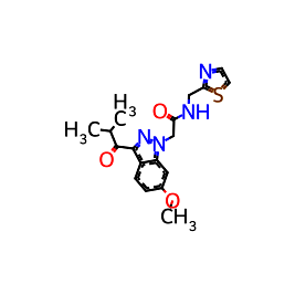 COc1ccc2c(C(=O)C(C)C)nn(CC(=O)NCc3nccs3)c2c1